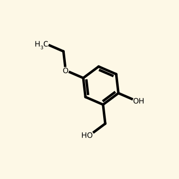 CCOc1ccc(O)c(CO)c1